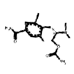 Cc1cc(C(N)=O)cc(C)c1C[C@@H](COC(N)=O)N(C)C